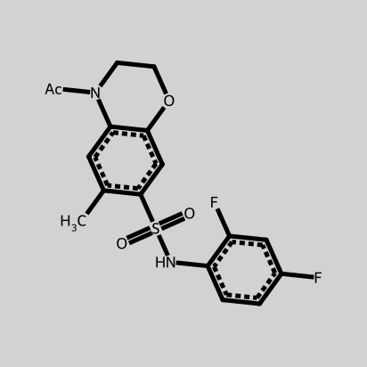 CC(=O)N1CCOc2cc(S(=O)(=O)Nc3ccc(F)cc3F)c(C)cc21